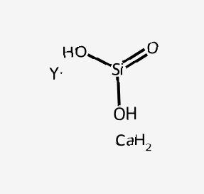 O=[Si](O)O.[CaH2].[Y]